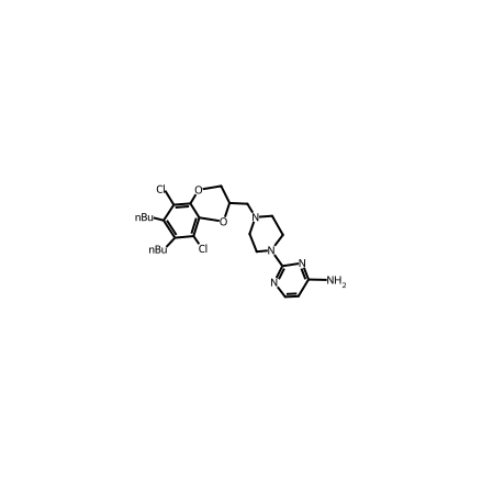 CCCCc1c(Cl)c2c(c(Cl)c1CCCC)OC(CN1CCN(c3nccc(N)n3)CC1)CO2